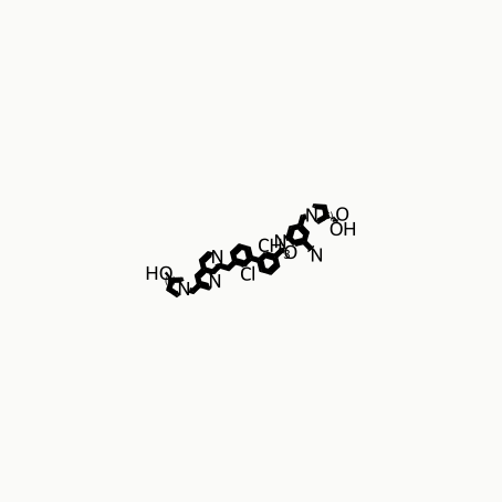 Cc1c(-c2nc3cc(CN4CC[C@H](C(=O)O)C4)cc(C#N)c3o2)cccc1-c1cccc(Cc2nccc3cc(CN4CC[C@@H](O)C4)cnc23)c1Cl